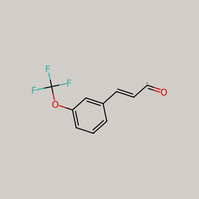 O=[C]C=Cc1cccc(OC(F)(F)F)c1